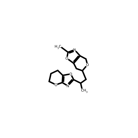 Cc1nc2c(o1)CC(CC(C)c1nc3c(o1)CCCO3)OC2